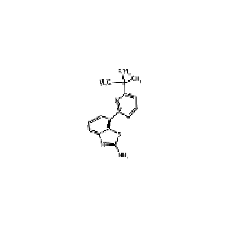 CC(C)(C)c1cccc(-c2cccc3nc(N)sc23)n1